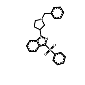 O=S(=O)(c1ccccc1)c1nn(C2CCN(Cc3ccccc3)C2)c2ccccc12